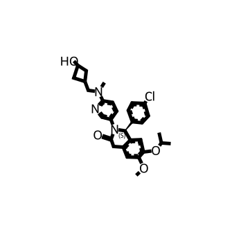 COc1cc2c(cc1OC(C)C)[C@H](c1ccc(Cl)cc1)N(c1ccc(N(C)CC3CC(O)C3)nc1)C(=O)C2